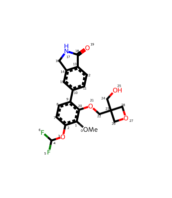 COc1c(OC(F)F)ccc(-c2ccc3c(c2)CNC3=O)c1OCC1(CO)COC1